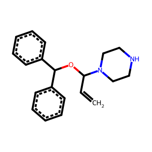 C=CC(OC(c1ccccc1)c1ccccc1)N1CCNCC1